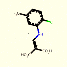 O=C(O)C(=CNc1cc(C(F)(F)F)ccc1Cl)C(=O)O